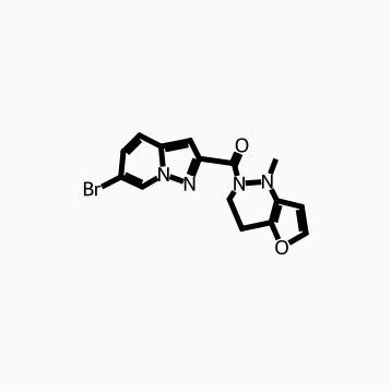 CN1c2ccoc2CCN1C(=O)c1cc2ccc(Br)cn2n1